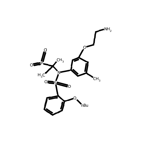 CCCCOc1ccccc1S(=O)(=O)N(c1cc(C)cc(OCCN)c1)C(C)(C)P(=O)=O